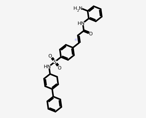 Nc1ccccc1NC(=O)/C=C/c1ccc(S(=O)(=O)NC2C=CC(c3ccccc3)=CC2)cc1